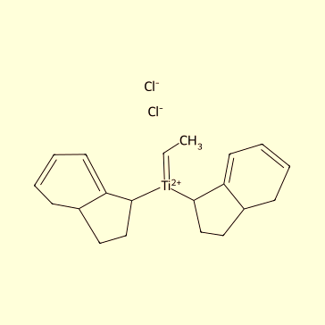 C[CH]=[Ti+2]([CH]1CCC2CC=CC=C21)[CH]1CCC2CC=CC=C21.[Cl-].[Cl-]